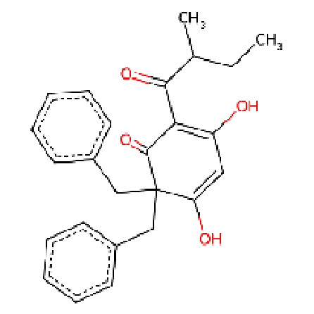 CCC(C)C(=O)C1=C(O)C=C(O)C(Cc2ccccc2)(Cc2ccccc2)C1=O